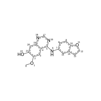 COc1cc2c(Nc3ccc4occc4c3)ncnc2cc1O